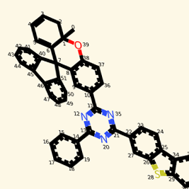 CC12CC=CC=C1C1(c3cc(-c4nc(-c5ccccc5)nc(-c5ccc6c(c5)sc5ccccc56)n4)ccc3O2)c2ccccc2-c2ccccc21